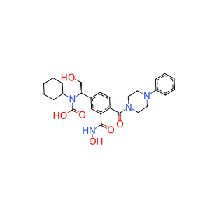 O=C(NO)c1cc([C@H](CO)N(C(=O)O)C2CCCCC2)ccc1C(=O)N1CCN(c2ccccc2)CC1